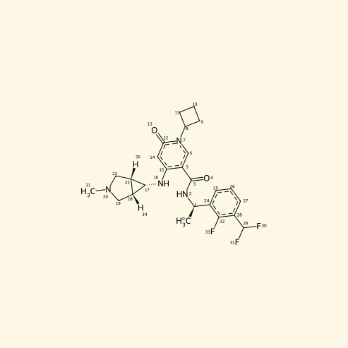 C[C@@H](NC(=O)c1cn(C2CCC2)c(=O)cc1N[C@@H]1[C@@H]2CN(C)C[C@@H]21)c1cccc(C(F)F)c1F